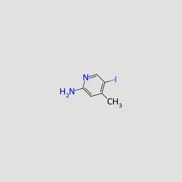 Cc1cc(N)ncc1I